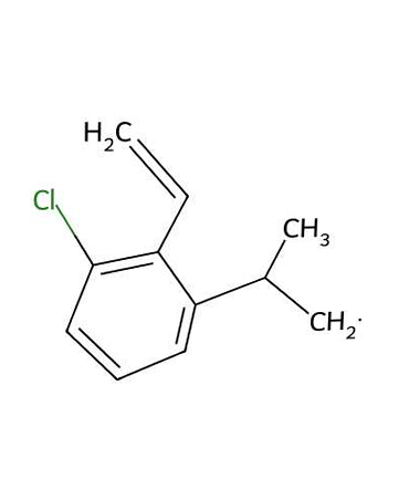 [CH2]C(C)c1cccc(Cl)c1C=C